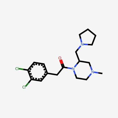 CN1CCN(C(=O)Cc2ccc(Cl)c(Cl)c2)C(CN2CCCC2)C1